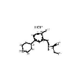 Cl.O=C(CF)NCc1cc(C2CCNCC2)ccc1F